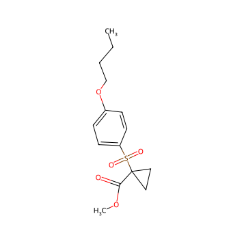 CCCCOc1ccc(S(=O)(=O)C2(C(=O)OC)CC2)cc1